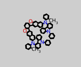 Cc1ccccc1N(c1ccc2cc3c(cc2c1)oc1ccc2oc4cc5cc(N(c6ccccc6C)c6cccc7c6c6ccccc6n7-c6ccccc6)ccc5cc4c2c13)c1cccc2c1c1ccccc1n2-c1ccccc1